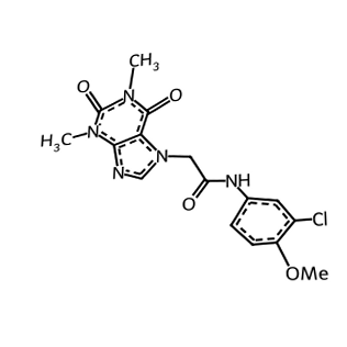 COc1ccc(NC(=O)Cn2cnc3c2c(=O)n(C)c(=O)n3C)cc1Cl